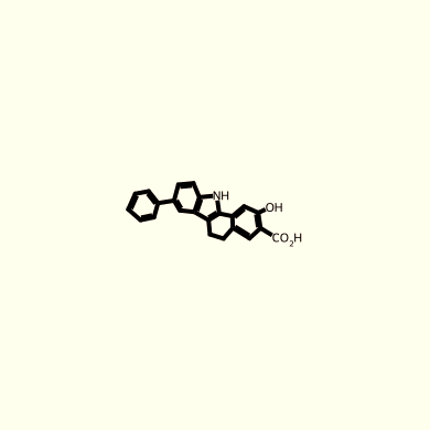 O=C(O)c1cc2c(cc1O)-c1[nH]c3ccc(-c4ccccc4)cc3c1CC2